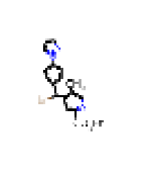 CCOC(=O)c1cc(C(Br)c2ccc(-n3cccn3)cc2)c(C)cn1